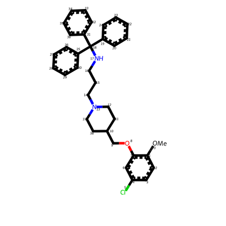 COc1ccc(Cl)cc1OCC1CCN(CCCNC(c2ccccc2)(c2ccccc2)c2ccccc2)CC1